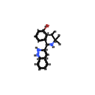 CC1c2c(Br)cccc2C(c2cc3ccccc3nn2)=NC1(C)C